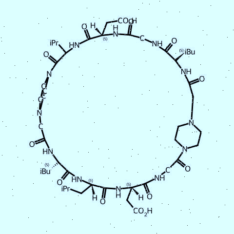 CC[C@H](C)C1NC(=O)CN2CCN(CC2)C(=O)CNC(=O)[C@H](CC(=O)O)NC(=O)[C@H](CC(C)C)NC(=O)C([C@@H](C)CC)NC(=O)CN2CCN(CC2)C(=O)C(C(C)C)NC(=O)[C@H](CC(=O)O)NC(=O)CNC1=O